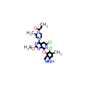 C=CC(=O)N1CCN(c2nc(OC)nc3c(Oc4c(Cl)c(C)cc5[nH]ncc45)nc(Cl)cc23)C[C@H]1C